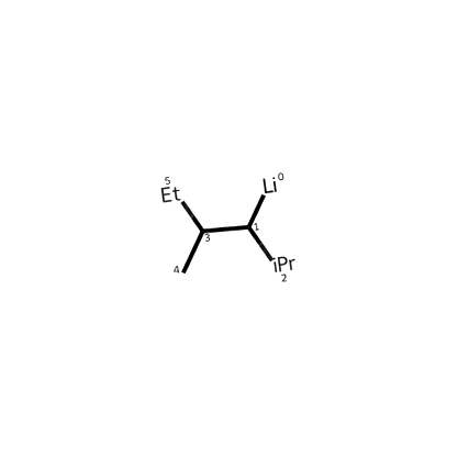 [Li][CH](C(C)C)C(C)CC